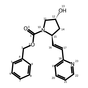 O=C(OCc1ccccc1)N1C[C@H](O)C[C@H]1/C=C/c1ccccn1